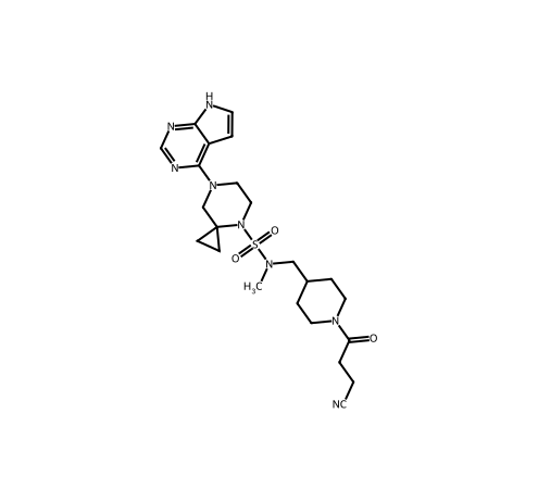 CN(CC1CCN(C(=O)CCC#N)CC1)S(=O)(=O)N1CCN(c2ncnc3[nH]ccc23)CC12CC2